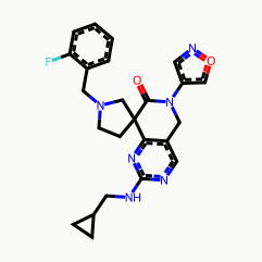 O=C1N(c2cnoc2)Cc2cnc(NCC3CC3)nc2C12CCN(Cc1ccccc1F)C2